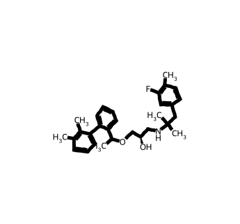 Cc1ccc(CC(C)(C)NC[C@@H](O)COC(C)c2ccccc2-c2cccc(C)c2C)cc1F